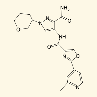 Cc1cc(-c2nc(C(=O)Nc3cn(C4CCCOC4)nc3C(N)=O)co2)ccn1